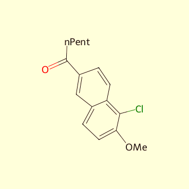 CCCCCC(=O)c1ccc2c(Cl)c(OC)ccc2c1